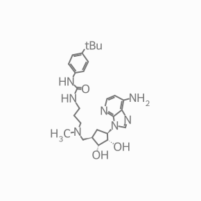 CN(CCCNC(=O)Nc1ccc(C(C)(C)C)cc1)C[C@H]1C[C@@H](n2cnc3c(N)ccnc32)[C@H](O)[C@@H]1O